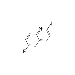 Fc1ccc2nc(I)ccc2c1